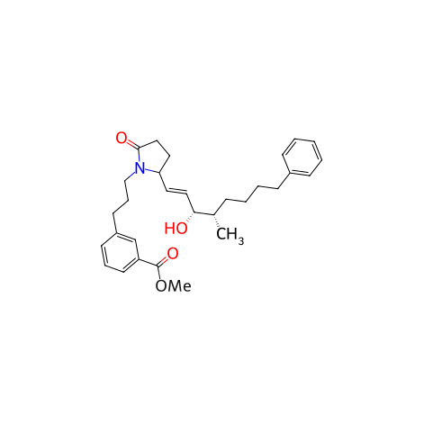 COC(=O)c1cccc(CCCN2C(=O)CCC2C=C[C@@H](O)[C@@H](C)CCCCc2ccccc2)c1